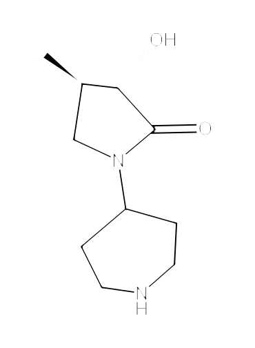 C[C@@H]1CN(C2CCNCC2)C(=O)[C@H]1O